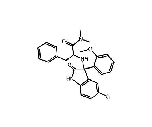 COc1ccccc1C1(N[C@@H](Cc2ccccc2)C(=O)N(C)C)C(=O)Nc2ccc(Cl)cc21